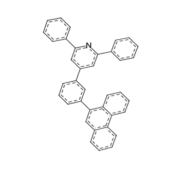 c1ccc(-c2cc(-c3cccc(-c4cc5ccccc5c5ccccc45)c3)cc(-c3ccccc3)n2)cc1